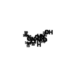 CCC(CC)(NC(=O)c1ccc(C2CC2)c(OCC2CC2)n1)C(=O)NCCO